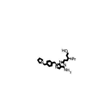 CCC[C@H](CCO)CCc1nc(N)c2cnn(Cc3ccc(CN4CCCC4)cc3)c2n1